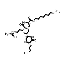 CCCC[C@@H]1NC[C@H](C(=O)CN2C[C@H](C(=O)NCCCCCCCNC)NC(=O)[C@@H]2CCCNC(=N)N)NC1=O